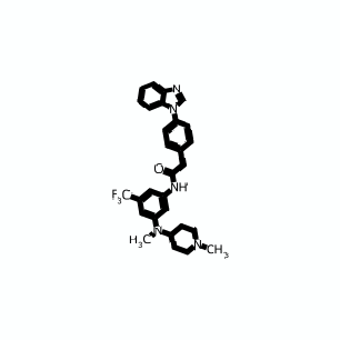 CN1CCC(N(C)c2cc(NC(=O)Cc3ccc(-n4cnc5ccccc54)cc3)cc(C(F)(F)F)c2)CC1